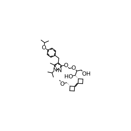 COC[C@H]1CC/C1=C1\CC[C@H]1C(O)C(CO)OCOc1nn(C(C)C)c(C)c1Cc1ccc(OC(C)C)cc1